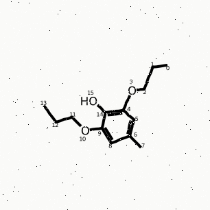 CCCOc1cc(C)cc(OCCC)c1O